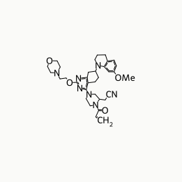 C=CC(=O)N1CCN(c2nc(OCCN3CCOCC3)nc3c2CCC(N2CCCc4ccc(OC)cc42)C3)CC1CC#N